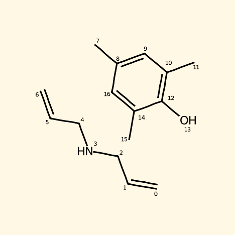 C=CCNCC=C.Cc1cc(C)c(O)c(C)c1